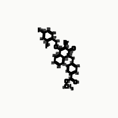 COC(=O)c1ccc(Cn2c(=O)c(Br)c(OCc3ccc(F)cc3F)c3ccccc32)cc1